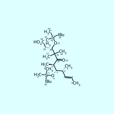 CC=C[C@@H](C)[C@H](O[Si](C)(C)C(C)(C)C)[C@@H](C)C(=O)C(C)(C)[C@H](CC(=O)O)O[Si](C)(C)C(C)(C)C